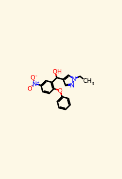 CCn1cc(C(O)c2cc([N+](=O)[O-])ccc2Oc2ccccc2)cn1